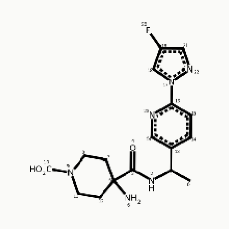 CC(NC(=O)C1(N)CCN(C(=O)O)CC1)c1ccc(-n2cc(F)cn2)nc1